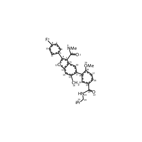 CNC(=O)c1c(-c2ccc(F)cc2)oc2cc(C)c(-c3cc(C(=O)NCC(C)C)ccc3OC)cc12